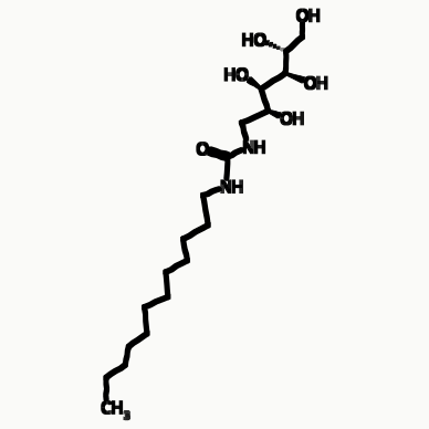 CCCCCCCCCCCCNC(=O)NC[C@H](O)[C@@H](O)[C@H](O)[C@H](O)CO